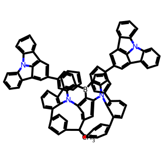 CC12c3ccc(cc3)-c3cccc(-c4ccccc4)c3N3c4cc(-c5cc6c7ccccc7n7c8ccccc8c(c5)c67)ccc4B4c5ccc(-c6cc7c8ccccc8n8c9ccccc9c(c6)c78)cc5N(c5cc1cc3c54)c1c(-c3ccccc3)cccc1-c1ccc2cc1